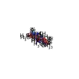 CCC(C)C(C(CC(=O)N1CCC[C@H]1C(OC)C(C)C(=O)NC(Cc1ccccc1F)C(=O)OC(C)(C)C)OC)N(C)C(=O)C(NC(=O)C(C(C)C)N(C)C(=O)OCC1c2ccccc2-c2ccccc21)C(C)C